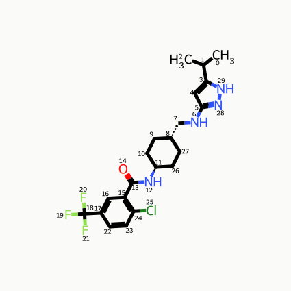 CC(C)c1cc(NC[C@H]2CC[C@H](NC(=O)c3cc(C(F)(F)F)ccc3Cl)CC2)n[nH]1